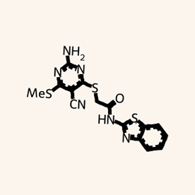 CSc1nc(N)nc(SCC(=O)Nc2nc3ccccc3s2)c1C#N